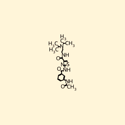 CC(=O)Nc1cccc(C(=O)Nc2nc(C(=O)NCCN(C(C)C)C(C)C)cs2)c1